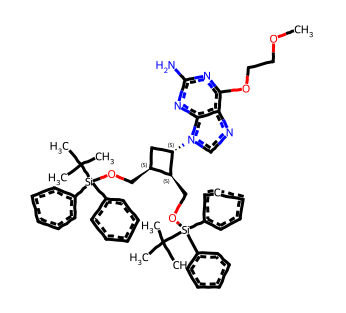 COCCOc1nc(N)nc2c1ncn2[C@H]1C[C@H](CO[Si](c2ccccc2)(c2ccccc2)C(C)(C)C)[C@@H]1CO[Si](c1ccccc1)(c1ccccc1)C(C)(C)C